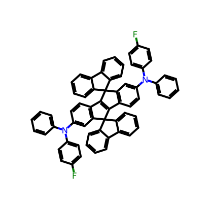 Fc1ccc(N(c2ccccc2)c2ccc3c(c2)C2(C4=C3C3(c5cc(N(c6ccccc6)c6ccc(F)cc6)ccc54)c4ccccc4-c4ccccc43)c3ccccc3-c3ccccc32)cc1